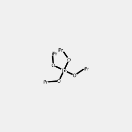 CC(C)O[Te](OC(C)C)(OC(C)C)OC(C)C